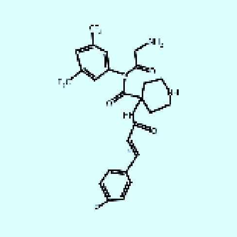 NCC(=O)N(C(=O)C1(NC(=O)/C=C/c2ccc(F)cc2)CCNCC1)c1cc(C(F)(F)F)cc(C(F)(F)F)c1